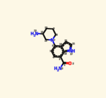 NC(=O)c1ccc(N2CCCC(N)C2)c2cc[nH]c12